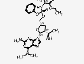 CCOC(=O)[C@H](C)N[P@](=S)(OC[C@@H]1C[C@H](C(C)=N)[C@H](n2cnc3c(N(C)C)nc(N)nc32)O1)Oc1ccccc1